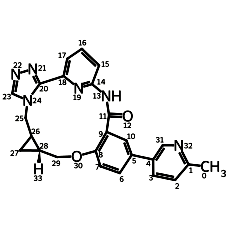 Cc1ccc(-c2ccc3c(c2)C(=O)Nc2cccc(n2)-c2nncn2CC2C[C@H]2CO3)cn1